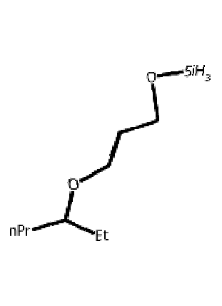 CCCC(CC)OCCCO[SiH3]